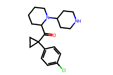 O=C(C1CCCCN1C1CCNCC1)C1(c2ccc(Cl)cc2)CC1